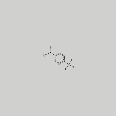 C=C(N)c1ccc(C(F)(F)F)nc1